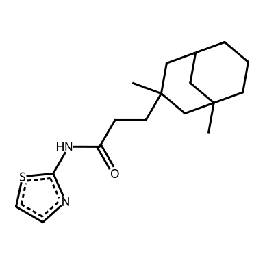 CC12CCCC(C1)CC(C)(CCC(=O)Nc1nccs1)C2